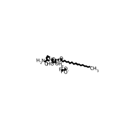 CCCCCCCCC=CCCCCCCCC(=O)OC[C@H]1O[C@@H]([n+]2cccc(C(N)=O)c2)[C@H](O)[C@@H]1O.O=C([O-])C(F)(F)F